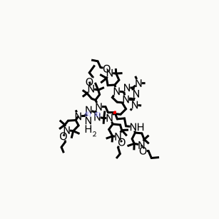 CCCON1C(C)(C)CC(NCCCCCCN(C(/N=C(\N)N(C)C2CC(C)(C)N(OCCC)C(C)(C)C2)=N\C(C)(C)N(CCCCCCN(c2nc(N(C)C)nc(N(C)C)n2)C2CC(C)(C)N(OCCC)C(C)(C)C2)C2CC(C)(C)N(OCCC)C(C)(C)C2)C2CC(C)(C)N(OCCC)C(C)(C)C2)CC1(C)C